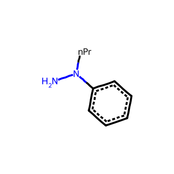 CCCN(N)c1ccccc1